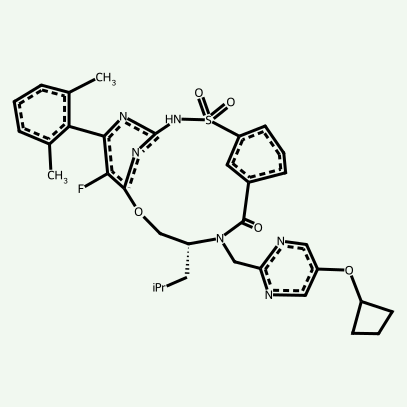 Cc1cccc(C)c1-c1nc2nc(c1F)OC[C@@H](CC(C)C)N(Cc1ncc(OC3CCC3)cn1)C(=O)c1cccc(c1)S(=O)(=O)N2